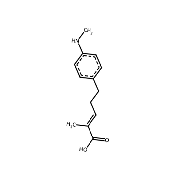 CNc1ccc(CC/C=C(\C)C(=O)O)cc1